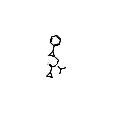 CC(C)N(CC1CC1c1ccccc1)C(=O)C1CC1